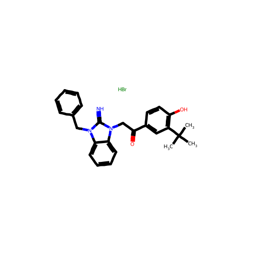 Br.CC(C)(C)c1cc(C(=O)Cn2c(=N)n(Cc3ccccc3)c3ccccc32)ccc1O